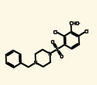 O=[C]c1c(Cl)ccc(S(=O)(=O)N2CCN(Cc3ccccc3)CC2)c1Cl